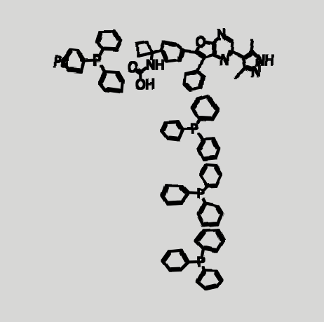 Cc1n[nH]c(C)c1-c1cnc2oc(-c3ccc(C4(NC(=O)O)CCC4)cc3)c(-c3ccccc3)c2n1.[Pd].c1ccc(P(c2ccccc2)c2ccccc2)cc1.c1ccc(P(c2ccccc2)c2ccccc2)cc1.c1ccc(P(c2ccccc2)c2ccccc2)cc1.c1ccc(P(c2ccccc2)c2ccccc2)cc1